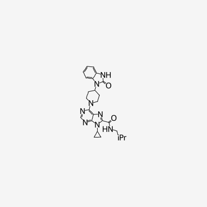 CC(C)CNC(=O)c1nc2c(N3CCC(n4c(=O)[nH]c5ccccc54)CC3)ncnc2n1C1CC1